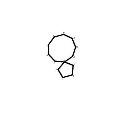 [CH]1CCCC12CCCCCCCC2